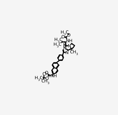 COC(=O)N[C@H](C(=O)N1CCC[C@@]1(C)c1nc(-c2ccc(-c3ccc4cc(NC(=O)OC(C)(C)C)ccc4c3)cc2)c[nH]1)C(C)C